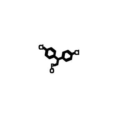 O=PCC(c1ccc(Cl)cc1)c1ccc(Cl)cc1